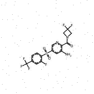 Nc1cc(S(=O)(=O)c2ccc(C(F)(F)F)cc2F)cnc1C(=O)N1CC(F)(F)C1